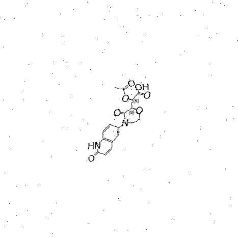 CC(=O)O[C@@H](C(=O)O)[C@H]1OCCN(c2ccc3[nH]c(=O)ccc3c2)C1=O